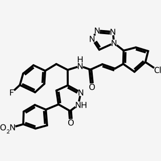 O=C(/C=C/c1cc(Cl)ccc1-n1cnnn1)NC(Cc1ccc(F)cc1)c1cc(-c2ccc([N+](=O)[O-])cc2)c(=O)[nH]n1